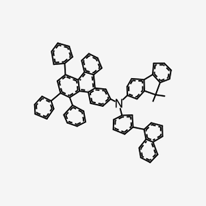 CC1(C)c2ccccc2-c2ccc(N(c3cccc(-c4cccc5ccccc45)c3)c3ccc4c(c3)c3ccccc3c3c(-c5ccccc5)cc(-c5ccccc5)c(-c5ccccc5)c43)cc21